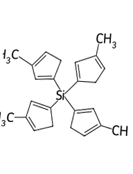 CC1=CCC([Si](C2=CC(C)=CC2)(C2=CC(C)=CC2)C2=CC(C)=CC2)=C1